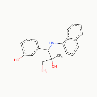 BCC(O)(C(Nc1cccc2ccccc12)c1cccc(O)c1)C(F)(F)F